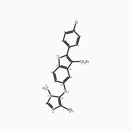 CCOC(=O)c1c(-c2ccc(Cl)cc2)oc2ccc(Oc3c([N+](=O)[O-])ncn3C)cc12